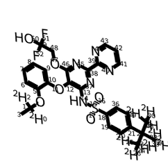 [2H]C([2H])(C)Oc1ccccc1Oc1c(NS(=O)(=O)c2ccc(C(C([2H])([2H])[2H])(C([2H])([2H])[2H])C([2H])([2H])[2H])cc2)nc(-c2ncccn2)nc1OCC(O)(F)F